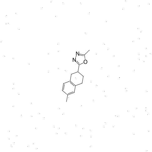 Cc1ccc2c(c1)CCC(c1nnc(C)o1)C2